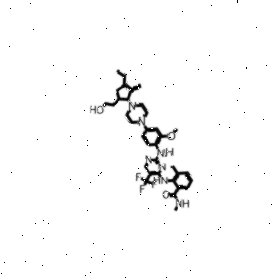 C=C1C(CC)CC(CCO)[C@H]1N1CCN(c2ccc(Nc3ncc(C(F)(F)F)c(Nc4c(C)cccc4C(=O)NC)n3)c(OC)c2)CC1